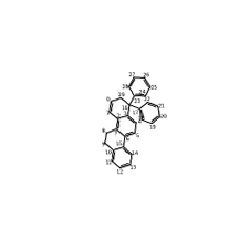 C1=Cc2c(ccc3c2CCc2ccccc2-3)C(c2ccccc2)(c2ccccc2)C1